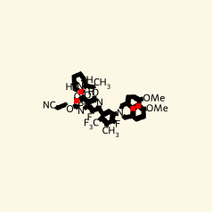 COc1ccc(CN(Cc2ccc(OC)cc2)c2cc(-c3nc4c5c(nc(OCCC#N)nc5c3F)N3C[C@H]5CC[C@@H]([C@H]3[C@H](C)O4)N5C(=O)OC(C)(C)C)c(C(F)(F)F)c(C)c2F)cc1